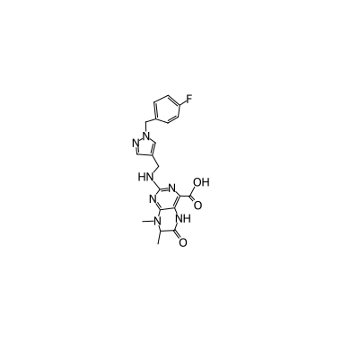 CC1C(=O)Nc2c(C(=O)O)nc(NCc3cnn(Cc4ccc(F)cc4)c3)nc2N1C